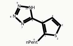 CCCCCc1sccc1-c1nnn[nH]1